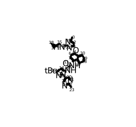 Cc1cc(Oc2ccc(NC(=O)Nc3cc(C(C)(C)C)nn3-c3cnc(C)nc3)c3ccccc23)nc(NCC2CC2)n1